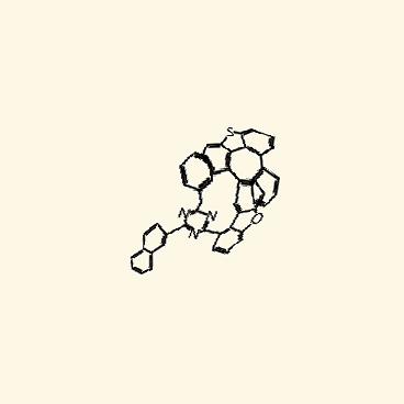 c1ccc(-c2nc(-c3ccc4ccccc4c3)nc(-c3cccc4oc5ccc(-c6cccc7sc8cccc(-c9ccccc9)c8c67)cc5c34)n2)cc1